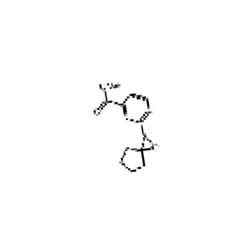 COC(=O)c1cccc(C2OC23CCCC3)c1